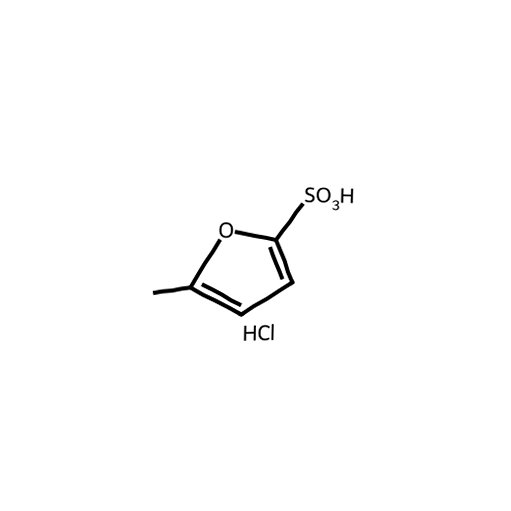 Cc1ccc(S(=O)(=O)O)o1.Cl